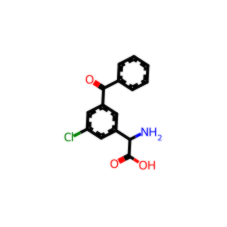 NC(C(=O)O)c1cc(Cl)cc(C(=O)c2ccccc2)c1